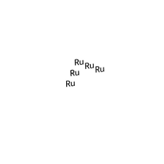 [Ru].[Ru].[Ru].[Ru].[Ru]